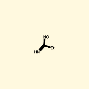 CCC(=N)N=O